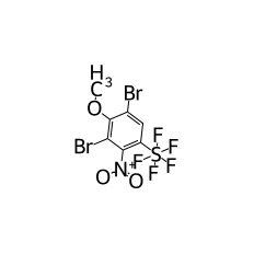 COc1c(Br)cc(S(F)(F)(F)(F)F)c([N+](=O)[O-])c1Br